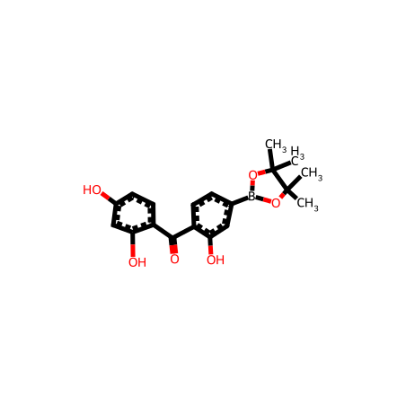 CC1(C)OB(c2ccc(C(=O)c3ccc(O)cc3O)c(O)c2)OC1(C)C